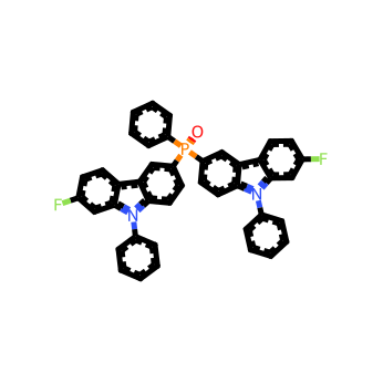 O=P(c1ccccc1)(c1ccc2c(c1)c1ccc(F)cc1n2-c1ccccc1)c1ccc2c(c1)c1ccc(F)cc1n2-c1ccccc1